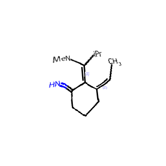 C/C=C1/CCCC(=N)/C1=C(\NC)C(C)C